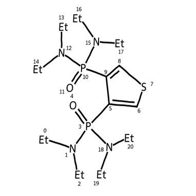 CCN(CC)P(=O)(c1cscc1P(=O)(N(CC)CC)N(CC)CC)N(CC)CC